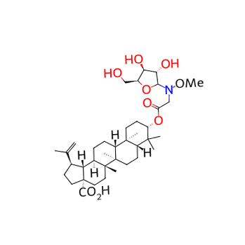 C=C(C)[C@@H]1CC[C@]2(C(=O)O)CC[C@]3(C)[C@H](CC[C@@H]4[C@@]5(C)CC[C@H](OC(=O)CN(OC)C6O[C@@H](CO)[C@@H](O)[C@@H]6O)C(C)(C)[C@@H]5CC[C@]43C)[C@@H]12